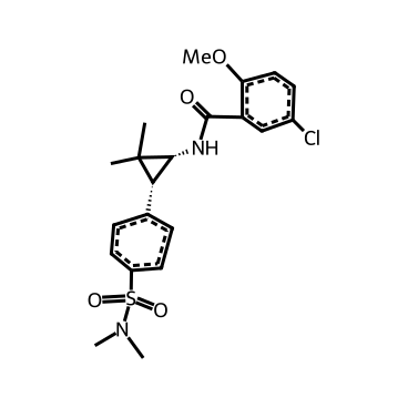 COc1ccc(Cl)cc1C(=O)N[C@@H]1[C@H](c2ccc(S(=O)(=O)N(C)C)cc2)C1(C)C